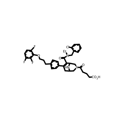 CCN(Cc1ccccc1Cl)C(=O)C1=C(c2ccc(CCCOc3c(F)ccc(F)c3F)cc2)CC2CN(C(=O)CCCC(=O)O)CC1N2